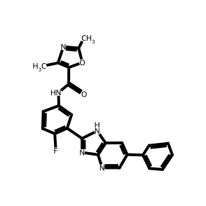 Cc1nc(C)c(C(=O)Nc2ccc(F)c(-c3nc4ncc(-c5ccccc5)cc4[nH]3)c2)o1